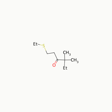 CCSCCC(=O)C(C)(C)CC